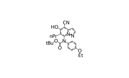 CCCc1c(O)c(C#N)c2ccnn2c1N(C(=O)OC(C)(C)C)c1ccc(OCC)cc1